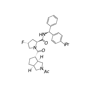 CC(=O)N1C[C@H]2CC[C@H](C(=O)N3C[C@H](F)C[C@H]3C(=O)N[C@@H](c3ccccc3)c3ccc(C(C)C)cc3)[C@H]2C1